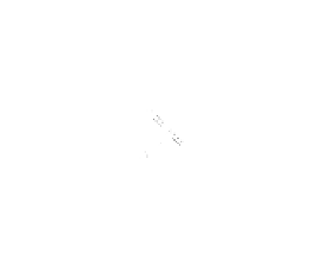 O=[Si]=O.[Co].[Zn]